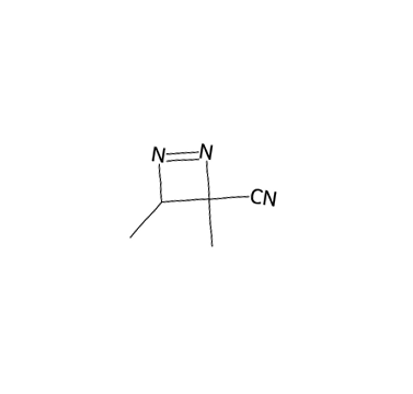 CC1N=NC1(C)C#N